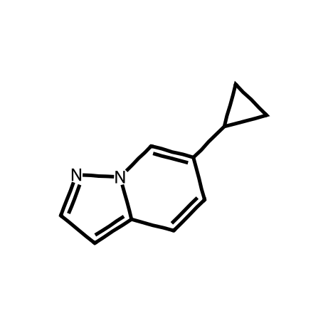 c1cc2ccc(C3CC3)cn2n1